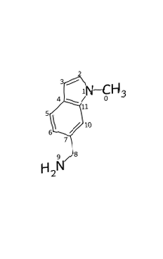 Cn1ccc2ccc(CN)cc21